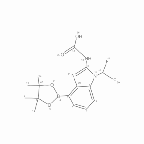 CC1(C)OB(c2cccc3c2nc(NC(=O)O)n3C(F)F)OC1(C)C